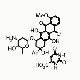 COc1cccc2c1C(=O)c1c(O)c3c(c(O)c1C2=O)C[C@@](O)(C(C)=O)C[C@@H]3O[C@H]1C[C@H](N)[C@H](O)[C@H](C)O1.O=C(O)c1cc(=O)[nH]c(=O)[nH]1